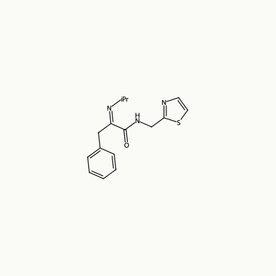 CC(C)/N=C(/Cc1ccccc1)C(=O)NCc1nccs1